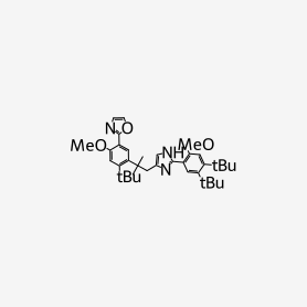 COc1cc(C(C)(C)C)c(C(C)(C)C)cc1-c1nc(CC(C)(C)c2cc(-c3ncco3)c(OC)cc2C(C)(C)C)c[nH]1